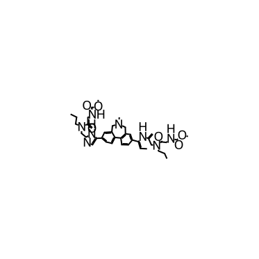 C=C(CN(CCC)C(=O)CNC(=O)OC)N/C(=C\C)c1ccc2c(c1)CN(C)Cc1cc(-c3cnc(CN(CCC)C(=O)CNC(=O)OC)[nH]3)ccc1-2